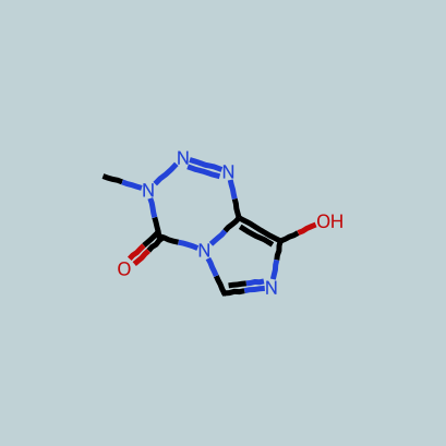 Cn1nnc2c(O)ncn2c1=O